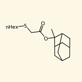 CCCCCCSCC(=O)OC1(C)C2CC3CC(C2)CC1C3